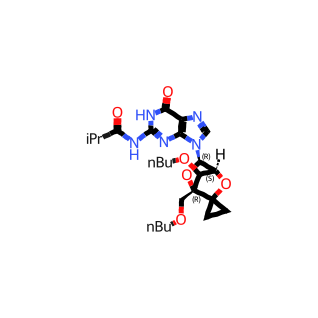 CCCCOC[C@]12O[C@@H](n3cnc4c(=O)[nH]c(NC(=O)C(C)C)nc43)[C@@H](OC13CC3)C2OCCCC